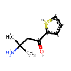 CC(C)(N)CC(=O)c1cccs1